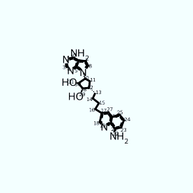 Nc1ncnc2c1ccn2[C@@H]1C[C@H](CCCCc2cnc3c(N)cccc3c2)[C@@H](O)[C@H]1O